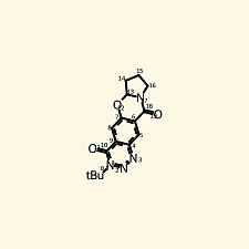 CC(C)(C)n1nnc2cc3c(cc2c1=O)OC1CCCN1C3=O